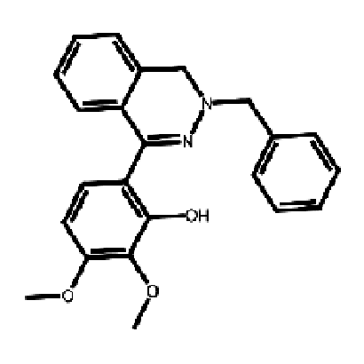 COc1ccc(C2=NN(Cc3ccccc3)Cc3ccccc32)c(O)c1OC